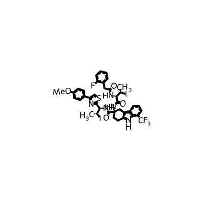 COc1ccc(-c2csc([C@@H](NC(=O)[C@@]3(NC(=O)[C@@H](NC(=O)Cc4ccccc4F)[C@@H](C)I)CCc4[nH]c5c(C(F)(F)F)cccc5c4C3)[C@@H](C)I)n2)cc1